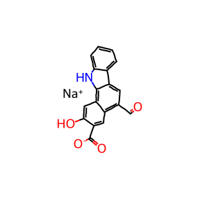 O=Cc1cc2c3ccccc3[nH]c2c2cc(O)c(C(=O)[O-])cc12.[Na+]